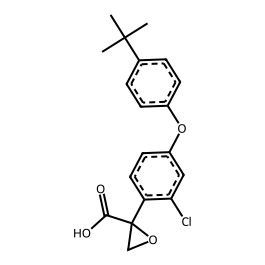 CC(C)(C)c1ccc(Oc2ccc(C3(C(=O)O)CO3)c(Cl)c2)cc1